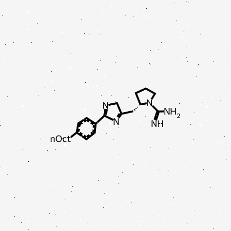 CCCCCCCCc1ccc(C2=NCC(C[C@@H]3CCCN3C(=N)N)=N2)cc1